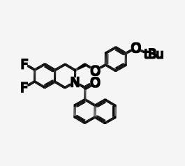 CC(C)(C)Oc1ccc(OC[C@@H]2CC3=CC(F)C(F)C=C3CN2C(=O)c2cccc3ccccc23)cc1